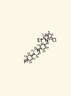 CCc1cn2ccc(Cl)c2n1Cc1ccc(N2CCC(c3ccc(F)cc3)CC2)cc1